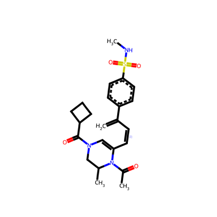 C=C(/C=C\C1=CN(C(=O)C2CCC2)CC(C)N1C(C)=O)c1ccc(S(=O)(=O)NC)cc1